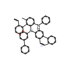 C=Cc1ccccc1-c1c(C)ccc(Nc2ccccc2)c1N(c1cccc(-c2ccccc2)c1)c1ccc(-c2ccccc2)c(/C=C\C)c1